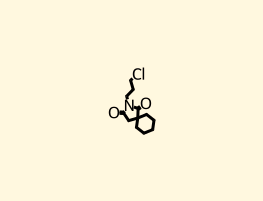 O=C1CC2(CCCCC2)C(=O)N1CCCCl